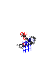 Cc1ccc(NC(=O)NC2NC(C)C3(CCCCCCCCC3)C(NCCOCCO)N2)cc1